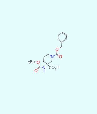 CC(C)(C)OC(=O)NC1(C(=O)O)CCCN(C(=O)OCc2ccccc2)C1